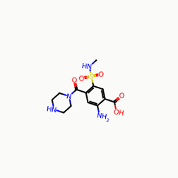 CNS(=O)(=O)c1cc(C(=O)O)c(N)cc1C(=O)N1CCNCC1